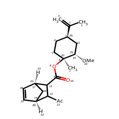 C=C(C)[C@@H]1CC[C@](C)(OC(=O)C2C(C(C)=O)[C@H]3C=C[C@@H]2C3)[C@@H](OC)C1